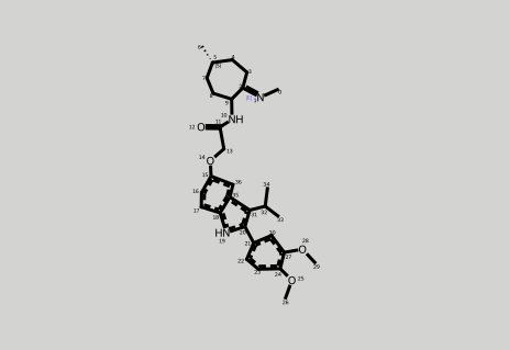 C/N=C1\CC[C@@H](C)CCC1NC(=O)COc1ccc2[nH]c(-c3ccc(OC)c(OC)c3)c(C(C)C)c2c1